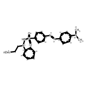 CCCCCCCCCCCCN(NS(=O)(=O)c1ccc(N=Nc2ccc(N(C)C)cc2)cc1)c1ccccc1